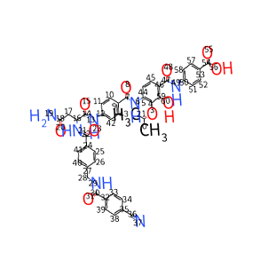 CC(C)Oc1c(NC(=O)c2ccc(NC(=O)C(CC(N)=O)NC(=O)c3ccc(CNC(=O)c4ccc(C#N)cc4)cc3)cc2)ccc(C(=O)Nc2ccc(C(=O)O)cc2)c1O